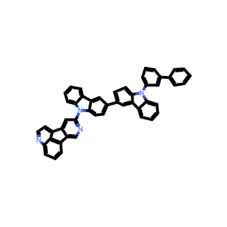 c1ccc(-c2cccc(-n3c4ccccc4c4cc(-c5ccc6c(c5)c5ccccc5n6-c5cc6c(cn5)-c5cccc7nccc-6c57)ccc43)c2)cc1